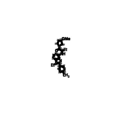 CCC(Nc1ncnc2c1nc(-c1cnc(C)nc1)n2CC)C(=O)N1CCC(OC)C1